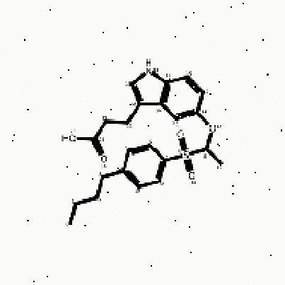 CCCCc1ccc(S(=O)(=O)C(C)Oc2ccc3[nH]cc(CCC(=O)O)c3c2)cc1